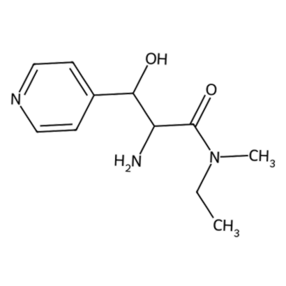 CCN(C)C(=O)C(N)C(O)c1ccncc1